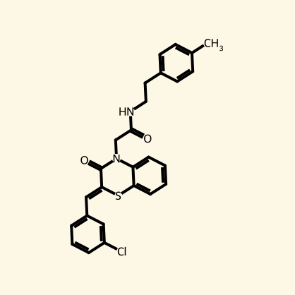 Cc1ccc(CCNC(=O)CN2C(=O)C(=Cc3cccc(Cl)c3)Sc3ccccc32)cc1